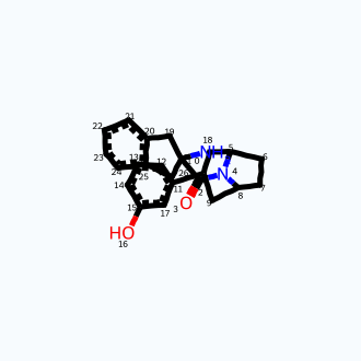 NC1(C(=O)N2C3CCC2CC(c2cccc(O)c2)C3)Cc2ccccc2C1